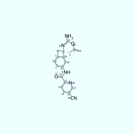 C=C1C[C@]2(Cc3ccc(NC(=O)c4ccc(C#N)cn4)cc32)N=C(N)O1